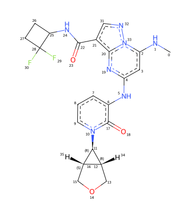 CNc1cc(Nc2cccn([C@H]3[C@@H]4COC[C@@H]43)c2=O)nc2c(C(=O)NC3CCC3(F)F)cnn12